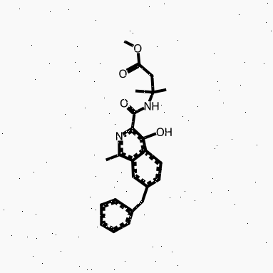 COC(=O)CC(C)(C)NC(=O)c1nc(C)c2cc(Cc3ccccc3)ccc2c1O